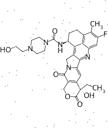 CC[C@@]1(O)C(=O)OCc2c1cc1n(c2=O)Cc2c-1nc1cc(F)c(C)c3c1c2[C@@H](NC(=O)N1CCN(CCO)CC1)CC3